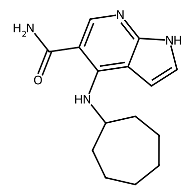 NC(=O)c1cnc2[nH]ccc2c1NC1CCCCCC1